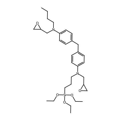 CCCCN(CC1CO1)c1ccc(Cc2ccc(N(CCC[Si](OCC)(OCC)OCC)CC3CO3)cc2)cc1